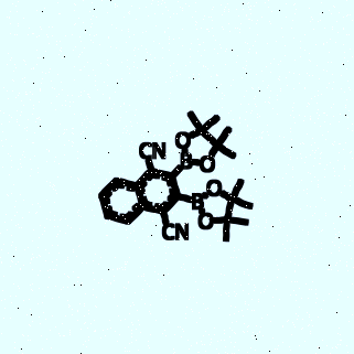 CC1(C)OB(c2c(B3OC(C)(C)C(C)(C)O3)c(C#N)c3ccccc3c2C#N)OC1(C)C